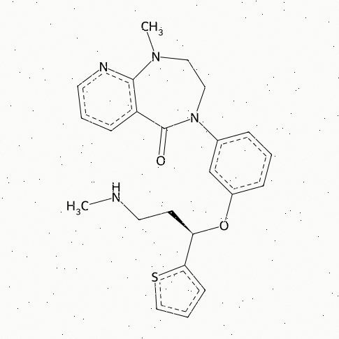 CNCC[C@@H](Oc1cccc(N2CCN(C)c3ncccc3C2=O)c1)c1cccs1